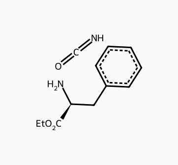 CCOC(=O)[C@@H](N)Cc1ccccc1.N=C=O